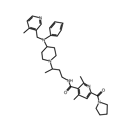 Cc1ccncc1CN(c1ccccc1)C1CCN(C(C)CCNC(=O)c2c(C)cc(C(=O)N3CCCC3)nc2C)CC1